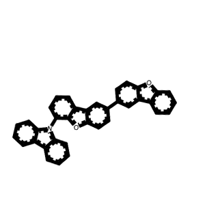 c1ccc2c(c1)oc1ccc(-c3ccc4oc5c(-n6c7ccccc7c7ccccc76)cccc5c4c3)cc12